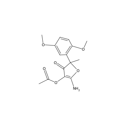 COc1ccc(OC)c(C2(C)OC(N)=C(OC(C)=O)C2=O)c1